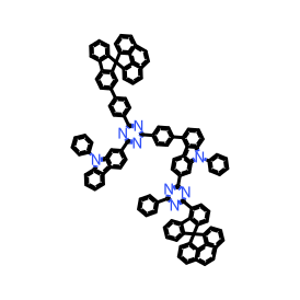 c1ccc(-c2nc(-c3ccc4c5c(-c6ccc(-c7nc(-c8ccc(-c9ccc%10c(c9)C9(c%11ccccc%11-%10)c%10cccc%11ccc%12cccc9c%12c%10%11)cc8)nc(-c8ccc9c%10ccccc%10n(-c%10ccccc%10)c9c8)n7)cc6)cccc5n(-c5ccccc5)c4c3)nc(-c3cccc4c3-c3ccccc3C43c4cccc5ccc6cccc3c6c45)n2)cc1